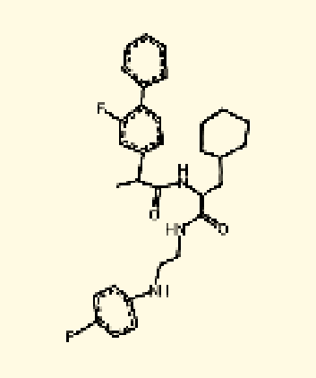 CC(C(=O)N[C@@H](CC1CCCCC1)C(=O)NCCNc1ccc(F)cc1)c1ccc(-c2ccccc2)c(F)c1